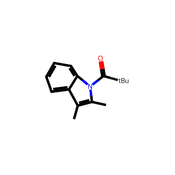 Cc1c(C)n(C(=O)C(C)(C)C)c2ccccc12